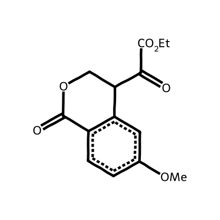 CCOC(=O)C(=O)C1COC(=O)c2ccc(OC)cc21